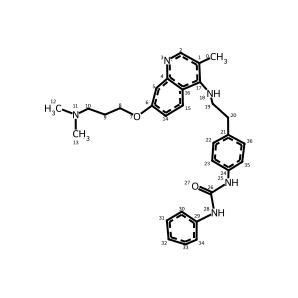 Cc1cnc2cc(OCCCN(C)C)ccc2c1NCCc1ccc(NC(=O)Nc2ccccc2)cc1